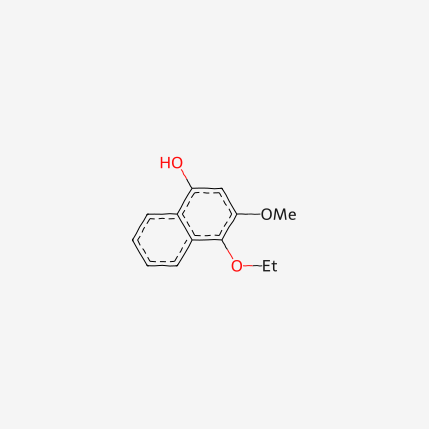 CCOc1c(OC)cc(O)c2ccccc12